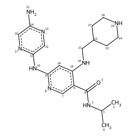 CC(C)NC(=O)c1cnc(Nc2cnc(N)cn2)cc1NCC1CCNCC1